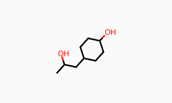 CC(O)CC1CCC(O)CC1